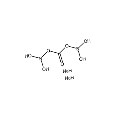 O=C(OB(O)O)OB(O)O.[NaH].[NaH]